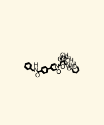 CC(CCn1ccc(-c2ccc(C(=O)NCc3ccccc3)cc2)cc1=O)(C(=O)NOC1CCCCO1)S(C)(=O)=O